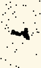 COc1ccc2c(c1)c(OCCOc1ccc(NC=O)cc1)nn2S(=O)(=O)c1ccc(C)cc1